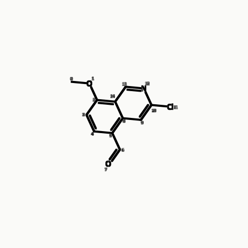 COc1ccc(C=O)c2cc(Cl)ncc12